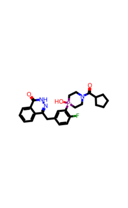 O=C(C1CCCC1)N1CC[P](O)(c2cc(Cc3n[nH]c(=O)c4ccccc34)ccc2F)CC1